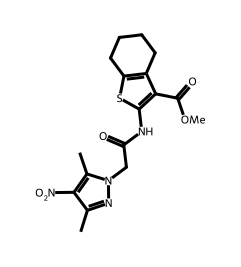 COC(=O)c1c(NC(=O)Cn2nc(C)c([N+](=O)[O-])c2C)sc2c1CCCC2